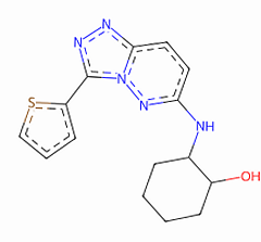 OC1CCCCC1Nc1ccc2nnc(-c3cccs3)n2n1